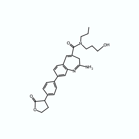 CCCN(CCCO)C(=O)C1=Cc2ccc(-c3ccc(C4CCOC4=O)cc3)cc2N=C(N)C1